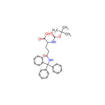 CC(C)(C)OC(=O)NC(CCC(=O)NC(c1ccccc1)(c1ccccc1)c1ccccc1)C(=O)O